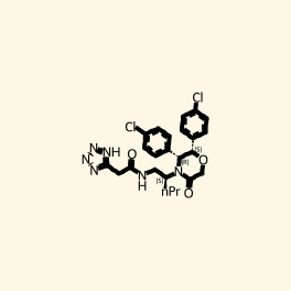 CCC[C@@H](CNC(=O)Cc1nnn[nH]1)N1C(=O)CO[C@@H](c2ccc(Cl)cc2)[C@H]1c1ccc(Cl)cc1